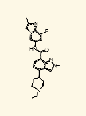 CCN1CCC(c2ccc(C(=O)Nc3cc(F)c4nc(C)cn4c3)c3nn(C)cc23)CC1